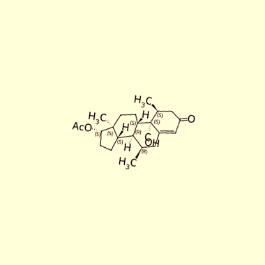 CC(=O)O[C@H]1CC[C@H]2[C@@H]3[C@H](C)CC4=CC(=O)C[C@H](C)[C@]4(CO)[C@H]3CC[C@]12C